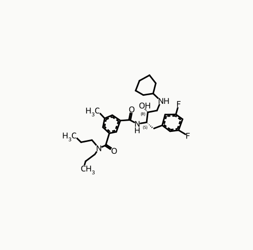 CCCN(CCC)C(=O)c1cc(C)cc(C(=O)N[C@@H](Cc2cc(F)cc(F)c2)[C@H](O)CNC2CCCCC2)c1